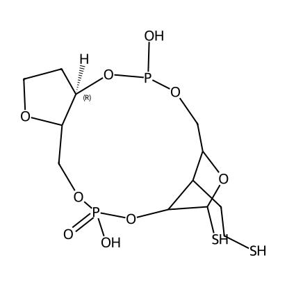 O=P1(O)OCC2OCC[C@H]2OP(O)OCC2OC(S)C(O1)C2CCS